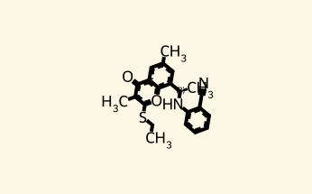 CCSc1oc2c([C@@H](C)Nc3ccccc3C#N)cc(C)cc2c(=O)c1C